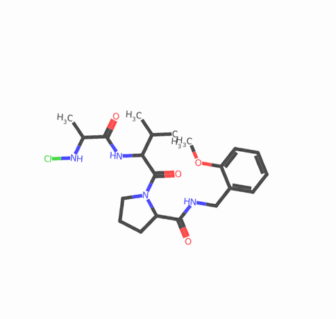 COc1ccccc1CNC(=O)C1CCCN1C(=O)C(NC(=O)C(C)NCl)C(C)C